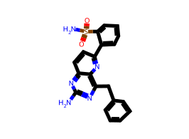 Nc1nc(Cc2ccccc2)c2nc(-c3ccccc3S(N)(=O)=O)ccc2n1